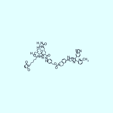 Cc1cccc(-c2nc(CNc3ccc4c(c3)CCN(C(=O)OCc3ccc(NC(=O)[C@H](CCCNC(N)=O)NC(=O)[C@@H](NC(=O)CCCCCN5C(=O)C#CC5=O)C(C)C)cc3)C4)[nH]c2-c2ccc3ncnn3c2)n1